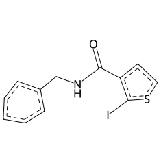 O=C(NCc1ccccc1)c1ccsc1I